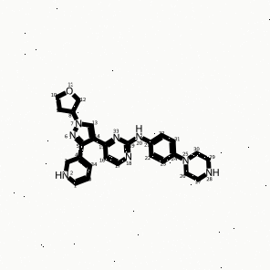 C1=CNCC(c2nn(C3CCOC3)cc2-c2ccnc(Nc3ccc(N4CCNCC4)cc3)n2)=C1